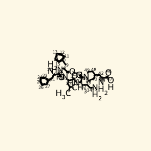 CC(C)C[C@@H](NC(=O)[C@@H](Cc1ccccc1)NC(=O)[C@H](N)Cc1ccccc1)C(=O)N[C@H](CCCN)C(=O)N1CCC(CC(N)C(=O)O)CC1